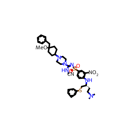 COC1(Cc2ccccc2)CCC(N2CCN(/C(=N/S(=O)(=O)c3ccc(N[C@H](CCN(C)C)CSc4ccccc4)c([N+](=O)[O-])c3)NC#N)CC2)CC1